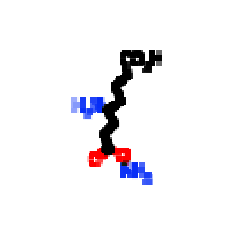 NOC(=O)CCC(N)CCCC(=O)O